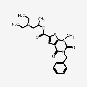 CCN(CC)CC(C)OC(=O)c1cc2c(=O)n(Cc3ccccc3)c(=O)n(C)c2s1